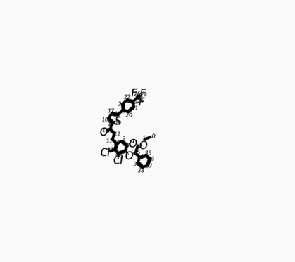 CCOC(=O)C(Oc1ccc(CCC(=O)c2ccc(-c3ccc(C(F)(F)F)cc3)s2)c(Cl)c1Cl)c1ccccc1